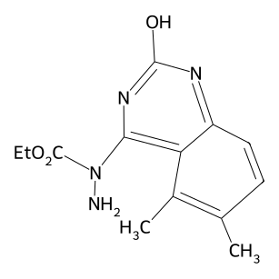 CCOC(=O)N(N)c1nc(O)nc2ccc(C)c(C)c12